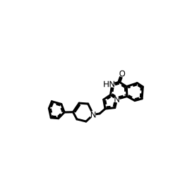 O=c1[nH]c2cc(CN3CC=C(c4ccccc4)CC3)cn2c2ccccc12